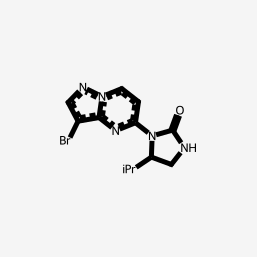 CC(C)C1CNC(=O)N1c1ccn2ncc(Br)c2n1